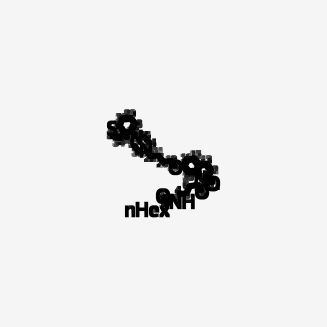 CCCCCCC(=O)NCCCC(=O)n1c(=O)ccc2ccc(OCCCCN3CCN(C4=CC=CC5SC=CC45C)CC3)cc21